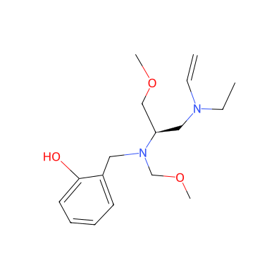 C=CN(CC)C[C@H](COC)N(COC)Cc1ccccc1O